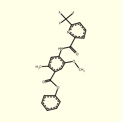 COc1cc(C(=O)Oc2ccccc2)c(C)cc1NC(=O)c1cccc(C(F)(F)F)n1